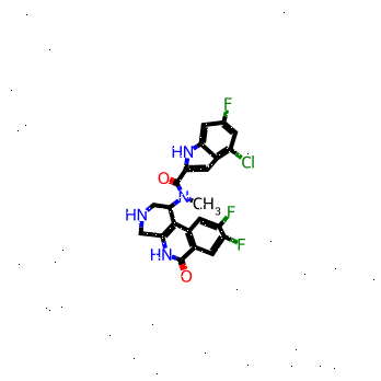 CN(C(=O)c1cc2c(Cl)cc(F)cc2[nH]1)C1CNCc2[nH]c(=O)c3cc(F)c(F)cc3c21